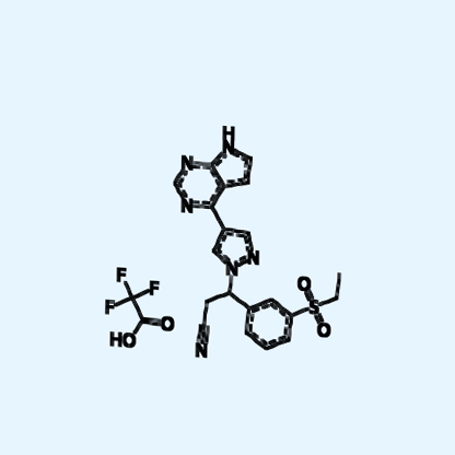 CCS(=O)(=O)c1cccc(C(CC#N)n2cc(-c3ncnc4[nH]ccc34)cn2)c1.O=C(O)C(F)(F)F